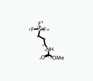 COC(=O)NCCC[Si](F)(F)F